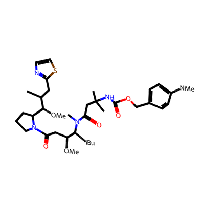 CCC(C)C(C(CC(=O)N1CCCC1C(OC)C(C)Cc1nccs1)OC)N(C)C(=O)CC(C)(C)NC(=O)OCc1ccc(NC)cc1